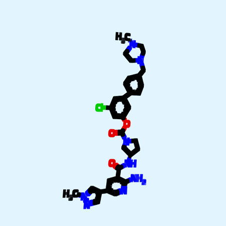 CN1CCN(Cc2ccc(-c3cc(Cl)cc(OC(=O)N4CC[C@@H](NC(=O)c5cc(-c6cnn(C)c6)cnc5N)C4)c3)cc2)CC1